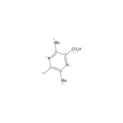 Cc1nc(C(C)(C)C)c(C(=O)O)nc1C(C)(C)C